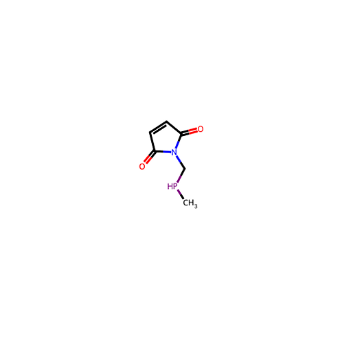 CPCN1C(=O)C=CC1=O